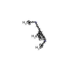 COC(=O)CCCC/C=C\CCCCCCCCC(CCCCCCCC/C=C\CCCCC(=O)OC)OC(=O)CC(C)C(C)CN(C)C